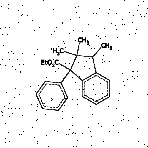 CCOC(=O)C1(c2ccccc2)c2ccccc2C(C)C1(C)C